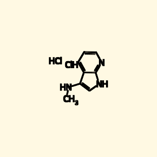 CNc1c[nH]c2ncccc12.Cl.Cl